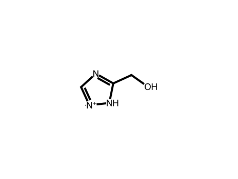 OCC1=NC=[N+]N1